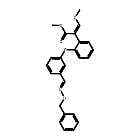 COC=C(C(=O)OC)c1ccccc1Oc1cccc(C=NOCc2ccccc2)c1